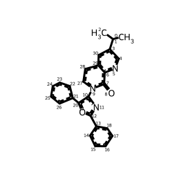 CC(C)c1cnc2c(=O)n(-c3nc(-c4ccccc4)oc3-c3ccccc3)ccc2c1